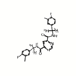 [2H]C([2H])(NC(=O)c1cc(C(=O)NC([2H])([2H])c2ccc(F)c(C)c2)ncn1)c1ccc(F)c(C)c1